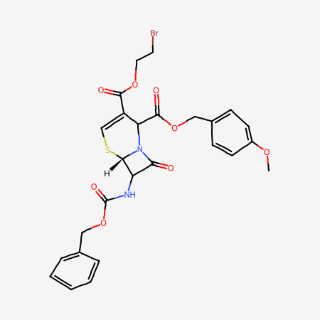 COc1ccc(COC(=O)C2C(C(=O)OCCBr)=CS[C@H]3C(NC(=O)OCc4ccccc4)C(=O)N23)cc1